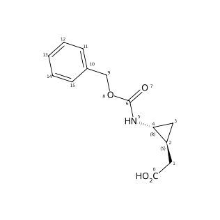 O=C(O)C[C@@H]1C[C@H]1NC(=O)OCc1ccccc1